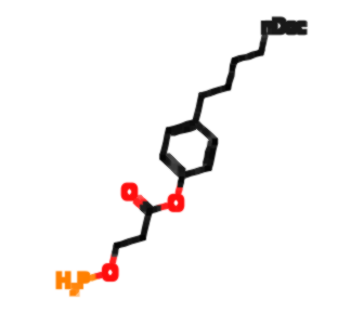 CCCCCCCCCCCCCCc1ccc(OC(=O)CCOP)cc1